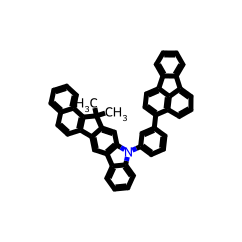 CC1(C)c2cc3c(cc2-c2ccc4ccccc4c21)c1ccccc1n3-c1cccc(-c2ccc3c4c(cccc24)-c2ccccc2-3)c1